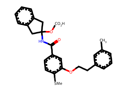 CSc1ccc(C(=O)NC2(OC(=O)O)Cc3ccccc3C2)cc1OCCc1cccc(C)c1